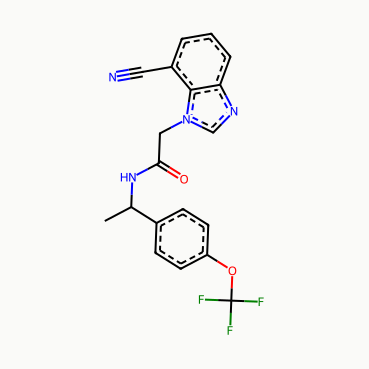 CC(NC(=O)Cn1cnc2cccc(C#N)c21)c1ccc(OC(F)(F)F)cc1